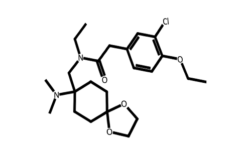 CCOc1ccc(CC(=O)N(CC)CC2(N(C)C)CCC3(CC2)OCCO3)cc1Cl